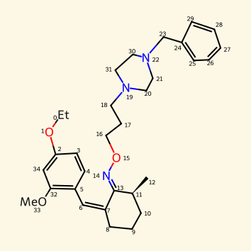 CCOc1ccc(C=C2CCC[C@H](C)C2=NOCCCN2CCN(Cc3ccccc3)CC2)c(OC)c1